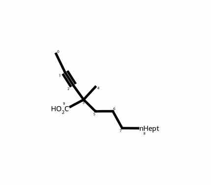 CC#CC(C)(CCCCCCCCCC)C(=O)O